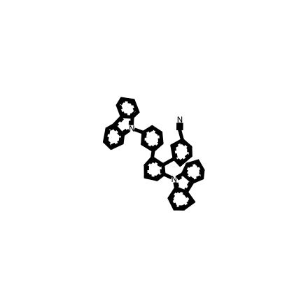 N#Cc1cccc(-c2c(-c3cccc(-n4c5ccccc5c5ccccc54)c3)cccc2-n2c3ccccc3c3ccccc32)c1